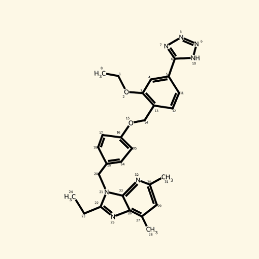 CCOc1cc(-c2nnn[nH]2)ccc1COc1ccc(Cn2c(CC)nc3c(C)cc(C)nc32)cc1